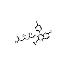 O=C(O)CC(O)CC(O)/C=C/c1c(C2CC2)nc2ccc(Cl)cc2c1-c1ccc(F)cc1